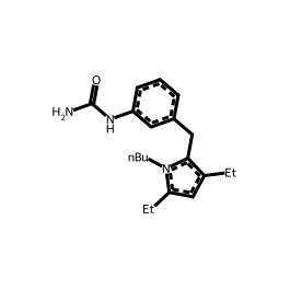 CCCCn1c(CC)cc(CC)c1Cc1cccc(NC(N)=O)c1